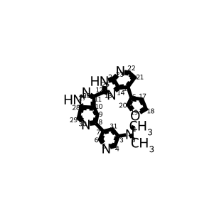 CN(C)c1cncc(-c2cc3c(-c4nc5c(-c6ccoc6)ccnc5[nH]4)n[nH]c3cn2)c1